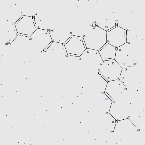 CCCc1ccnc(NC(=O)c2ccc(-c3nc([C@H](C)N(C)C(=O)/C=C/CN(C)CI)n4ccnc(N)c34)cc2)c1